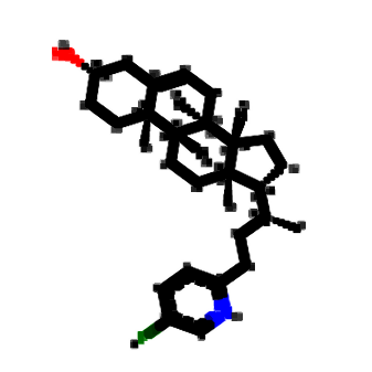 C[C@H](CCc1ccc(F)cn1)[C@H]1CC[C@H]2[C@@H]3CC=C4C[C@@H](O)CC[C@]4(C)[C@H]3CC[C@]12C